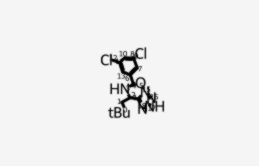 CC(C)(C)CC(NC(=O)c1cc(Cl)cc(Cl)c1)c1nn[nH]n1